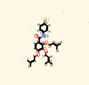 CC(C)=CCOc1ccc(C(=O)Nc2ccc(S)cc2)c(OCC=C(C)C)c1OCC=C(C)C